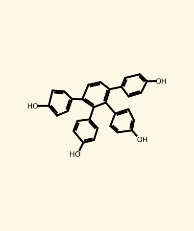 Oc1ccc(-c2ccc(-c3ccc(O)cc3)c(-c3ccc(O)cc3)c2-c2ccc(O)cc2)cc1